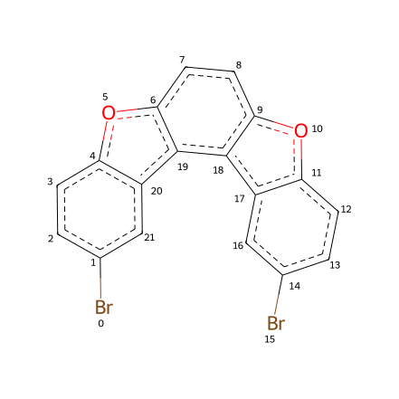 Brc1ccc2oc3ccc4oc5ccc(Br)cc5c4c3c2c1